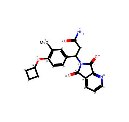 COc1cc(C(CC(N)=O)N2C(=O)c3cccnc3C2=O)ccc1OC1CCC1